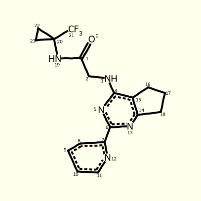 O=C(CNc1nc(-c2ccccn2)nc2c1CCC2)NC1(C(F)(F)F)CC1